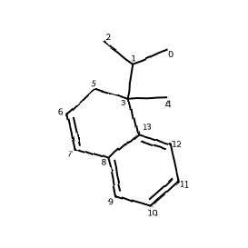 CC(C)C1(C)CC=Cc2ccccc21